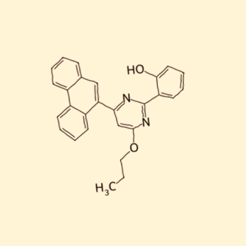 CCCOc1cc(-c2cc3ccccc3c3ccccc23)nc(-c2ccccc2O)n1